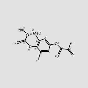 C=C(C)C(=O)Oc1cc(I)c(OC(=O)OC(C)(C)C)c(OC)c1